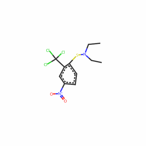 CCN(CC)Sc1ccc([N+](=O)[O-])cc1C(Cl)(Cl)Cl